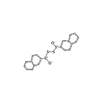 [O-][S+](SS[S+]([O-])c1ccc2ccccc2c1)c1ccc2ccccc2c1